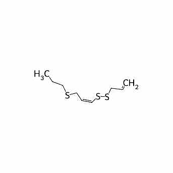 C=CCSS/C=C\CSCCC